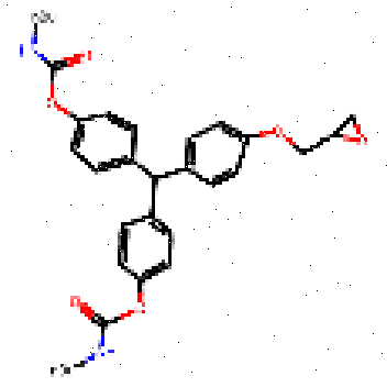 CCCCNC(=O)Oc1ccc(C(c2ccc(OCC3CO3)cc2)c2ccc(OC(=O)NCCCC)cc2)cc1